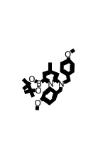 COc1ccc(CN(Cc2ccc(OC)cc2)c2cc(C)cc(B3OC(C)(C)C(C)(C)O3)n2)cc1